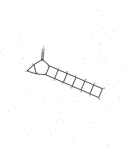 O=C1C2CC2C2C1C1C2C2C3C4C5CCC5C4C3C12